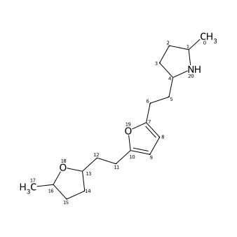 CC1CCC(CCc2ccc(CCC3CCC(C)O3)o2)N1